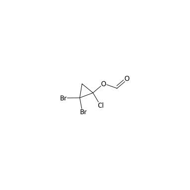 O=COC1(Cl)CC1(Br)Br